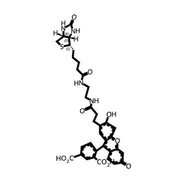 O=C(CCCC[C@@H]1SC[C@@H]2NC(=O)N[C@@H]21)NCCNC(=O)CCc1cc2c(-c3ccc(C(=O)O)cc3C(=O)O)c3ccc(=O)cc-3oc2cc1O